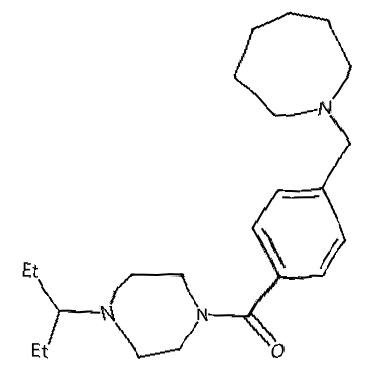 CCC(CC)N1CCN(C(=O)c2ccc(CN3CCCCCC3)cc2)CC1